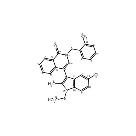 Cc1c(-c2nn(Cc3ccccc3C(F)(F)F)c(=O)c3ccccc23)c2cc(Cl)ccc2n1CC(=O)O